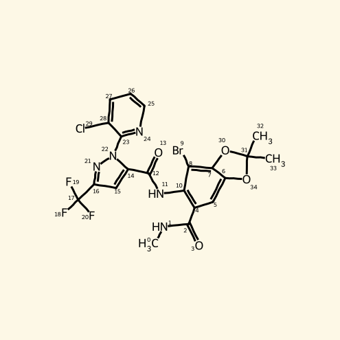 CNC(=O)c1cc2c(c(Br)c1NC(=O)c1cc(C(F)(F)F)nn1-c1ncccc1Cl)OC(C)(C)O2